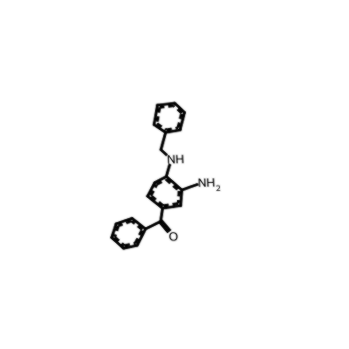 Nc1cc(C(=O)c2ccccc2)ccc1NCc1ccccc1